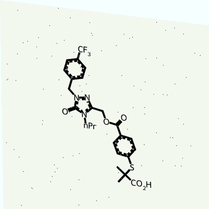 CCCn1c(COC(=O)c2ccc(SC(C)(C)C(=O)O)cc2)nn(Cc2ccc(C(F)(F)F)cc2)c1=O